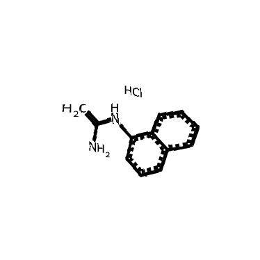 C=C(N)Nc1cccc2ccccc12.Cl